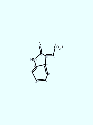 O=C(O)/C=C1\C(=O)Nc2ccccc21